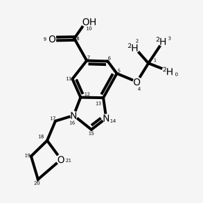 [2H]C([2H])([2H])Oc1cc(C(=O)O)cc2c1ncn2CC1CCO1